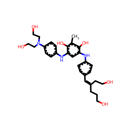 Cc1c(O)c(Nc2ccc(/C=C(\CCO)CCCO)cc2)cc(Nc2ccc(N(CCO)CCO)cc2)c1O